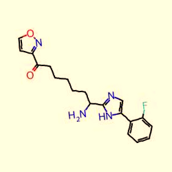 NC(CCCCCC(=O)c1ccon1)c1ncc(-c2ccccc2F)[nH]1